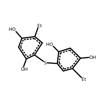 CCc1cc(Sc2cc(CC)c(O)cc2O)c(O)cc1O